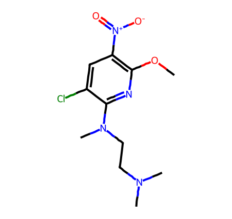 COc1nc(N(C)CCN(C)C)c(Cl)cc1[N+](=O)[O-]